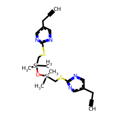 C#CCc1cnc(SC[Si](C)(C)O[Si](C)(C)CSc2ncc(CC#C)cn2)nc1